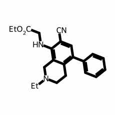 CCOC(=O)CNc1c(C#N)cc(-c2ccccc2)c2c1CN(CC)CC2